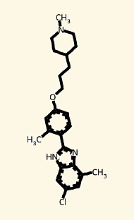 Cc1cc(OCCCC2CCN(C)CC2)ccc1-c1nc2c(C)cc(Cl)cc2[nH]1